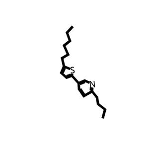 CCCCCCc1ccc(-c2ccc(CCCC)nc2)s1